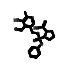 Cc1ncc(COP(=O)(Oc2ccccc2)N2CCCC2C(=O)O)c(C=O)c1O